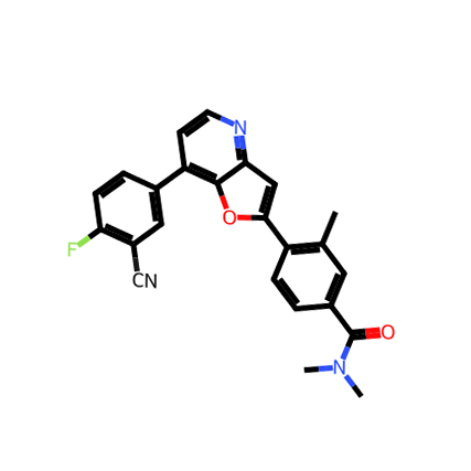 Cc1cc(C(=O)N(C)C)ccc1-c1cc2nccc(-c3ccc(F)c(C#N)c3)c2o1